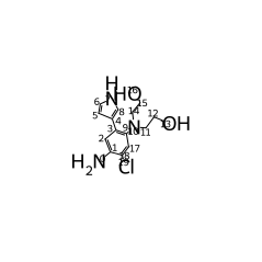 Nc1cc(-c2cc[nH]c2)c(N(CCO)CCO)cc1Cl